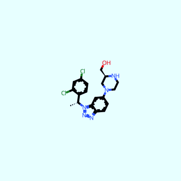 C[C@H](c1ccc(Cl)cc1Cl)n1nnc2ccc(N3CCN[C@H](CO)C3)cc21